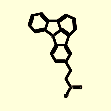 O=[N+]([O-])CCc1ccc2c(c1)c1cccc3c4ccccc4n2c31